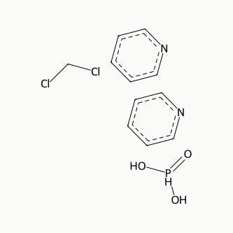 ClCCl.O=[PH](O)O.c1ccncc1.c1ccncc1